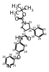 CC(C)(C)OC(=O)N1C[C@@H](C(=O)Nc2ccc(Oc3cccnc3)cc2)[C@H](c2ccccc2)C1